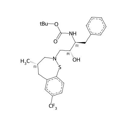 C[C@H]1Cc2cc(C(F)(F)F)ccc2SN(C[C@@H](O)[C@H](Cc2ccccc2)NC(=O)OC(C)(C)C)C1